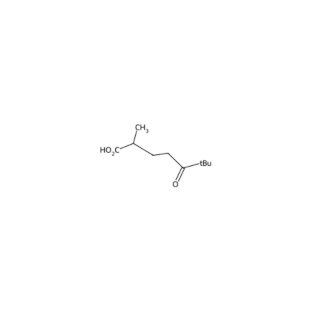 CC(CCC(=O)C(C)(C)C)C(=O)O